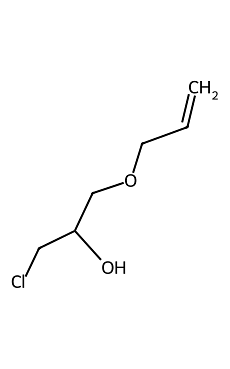 C=CCOCC(O)CCl